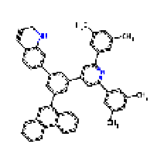 Cc1cc(C)cc(-c2cc(-c3cc(-c4ccc5c(c4)NCC#C5)cc(-c4cc5ccccc5c5ccccc45)c3)cc(-c3cc(C)cc(C)c3)n2)c1